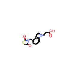 O=C(O)CCn1ccc2c(CN3C(=O)CSC3=O)cccc21